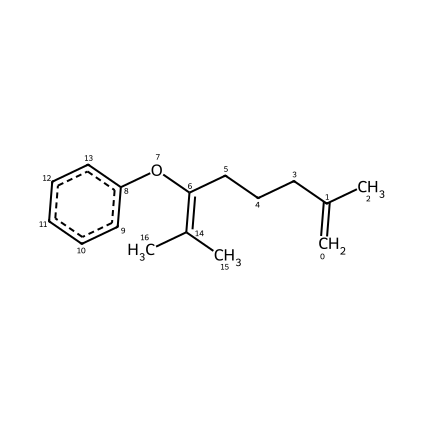 C=C(C)CCCC(Oc1ccccc1)=C(C)C